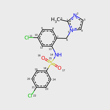 Cc1nccn1Cc1ccc(Cl)cc1NS(=O)(=O)c1ccc(Cl)cc1